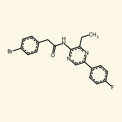 CCc1nc(-c2ccc(F)cc2)cnc1NC(=O)Cc1ccc(Br)cc1